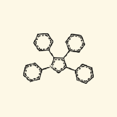 c1ccc(-c2cn(-c3ccccc3)c(-c3ccccc3)c2-c2ccccc2)cc1